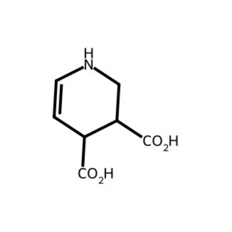 O=C(O)C1C=CNCC1C(=O)O